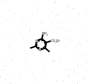 CCOC(=O)c1c(C)nc(C)nc1N